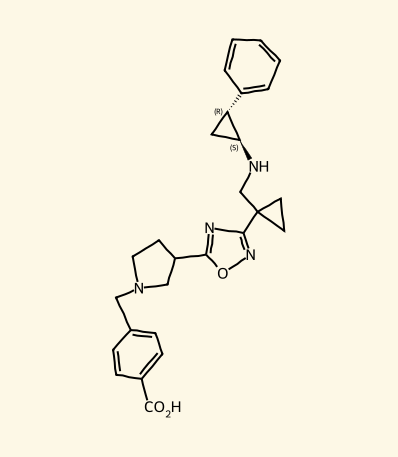 O=C(O)c1ccc(CN2CCC(c3nc(C4(CN[C@H]5C[C@@H]5c5ccccc5)CC4)no3)C2)cc1